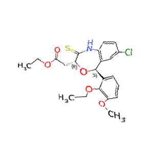 CCOC(=O)C[C@H]1O[C@H](c2cccc(OC)c2OCC)c2cc(Cl)ccc2NC1=S